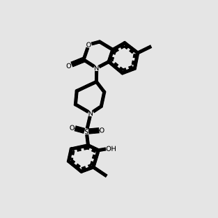 Cc1ccc2c(c1)COC(=O)N2C1CCN(S(=O)(=O)c2cccc(C)c2O)CC1